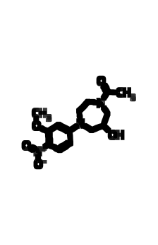 COc1cc(N2CCN(C(C)=O)CC(O)C2)ccc1[N+](=O)[O-]